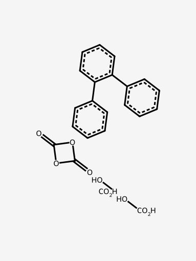 O=C(O)O.O=C(O)O.O=C1OC(=O)O1.c1ccc(-c2ccccc2-c2ccccc2)cc1